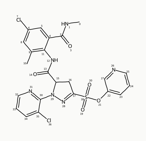 CNC(=O)c1cc(Cl)cc(C)c1NC(=O)C1CC(S(=O)(=O)Oc2cccnc2)=NN1c1ncccc1Cl